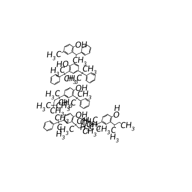 CC(C)(C)CC(C)(C)c1cc(C(C)(C)c2ccccc2)ccc1O.CC(C)(C)CC(C)(C)c1ccc(O)c(C(C)(C)c2ccccc2)c1.CC(C)(c1ccccc1)c1ccc(O)c(C(C)(C)c2ccccc2)c1.CCC(C)c1cc(C(C)(C)C)ccc1O.Cc1ccc(O)c(C(C)c2ccccc2)c1